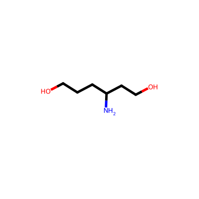 NC(CCO)CCCO